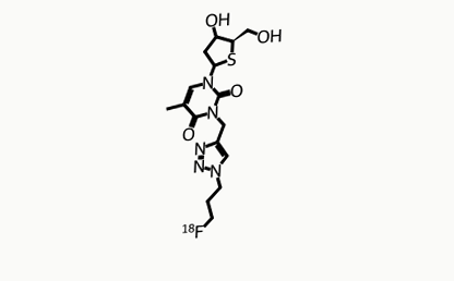 Cc1cn(C2CC(O)[C@@H](CO)S2)c(=O)n(Cc2cn(CCC[18F])nn2)c1=O